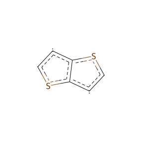 [c]1csc2[c]csc12